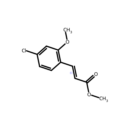 COC(=O)/C=C/c1ccc(Cl)cc1OC